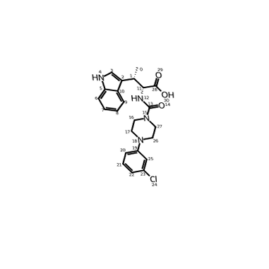 C[C@@H](c1c[nH]c2ccccc12)[C@@H](NC(=O)N1CCN(c2cccc(Cl)c2)CC1)C(=O)O